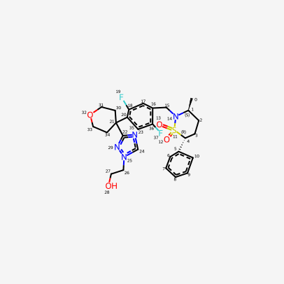 C[C@H]1CC[C@H](c2ccccc2)S(=O)(=O)N1Cc1cc(F)c(C2(c3ncn(CCO)n3)CCOCC2)cc1F